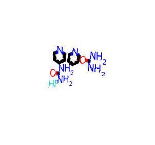 F.NC(N)=O.NC(N)=O.c1ccncc1.c1ccncc1